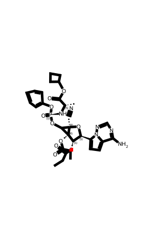 CCC(=O)O[C@H]1[C@H](c2ccc3c(N)ncnn23)O[C@]2(C#N)C(O[P@@](=O)(N[C@@H](C)C(=O)OC3CCC3)Oc3ccccc3)[C@]12OC(=O)CC